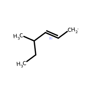 [CH2]/C=C/C(C)CC